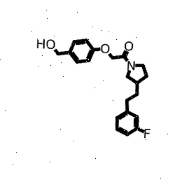 O=C(COc1ccc(CO)cc1)N1CCC(CCc2cccc(F)c2)C1